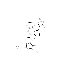 COc1cc(OC)c(F)c(N2Cc3cnc(-c4cn(C)nc4C)cc3N(Cc3cnccn3)C2=O)c1F